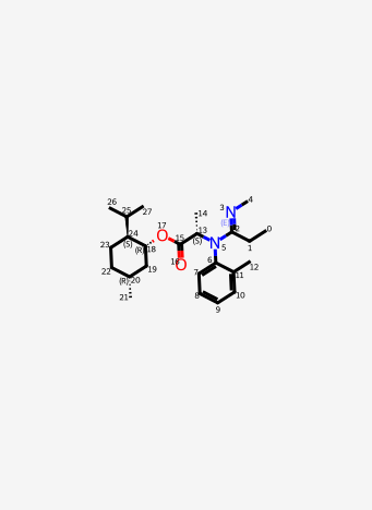 CC/C(=N\C)N(c1ccccc1C)[C@@H](C)C(=O)O[C@@H]1C[C@H](C)CC[C@H]1C(C)C